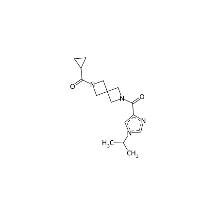 CC(C)n1cnc(C(=O)N2CC3(C2)CN(C(=O)C2CC2)C3)c1